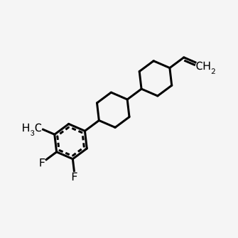 C=CC1CCC(C2CCC(c3cc(C)c(F)c(F)c3)CC2)CC1